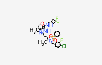 C=C(CCC1=NC(C)(C)[C@H](C(=O)NCC2CC(F)(F)C2)N1)N(Cc1ccc(Cl)c(F)c1)S(=O)(=O)c1ccccc1